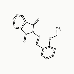 CCOc1ccccc1C=NN1C(=O)c2ccccc2C1=O